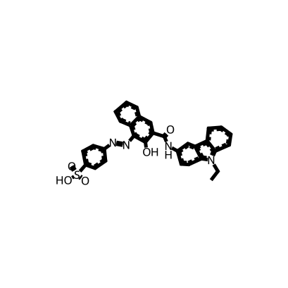 CCn1c2ccccc2c2cc(NC(=O)c3cc4ccccc4c(/N=N/c4ccc(S(=O)(=O)O)cc4)c3O)ccc21